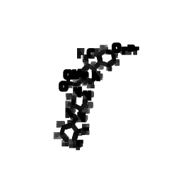 CCCOc1ccc(-c2ccc(C(C(=O)OC)n3cc4nc(-c5cccc(F)c5F)nc-4cn3)cn2)c(C(F)(F)F)c1